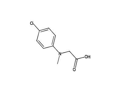 CN(CC(=O)O)c1ccc(Cl)cc1